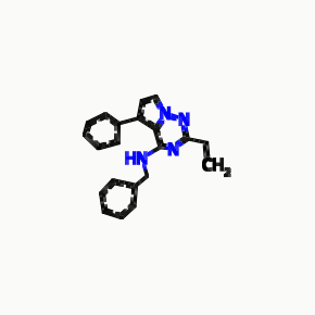 C=Cc1nc(NCc2ccccc2)c2c(-c3ccccc3)ccn2n1